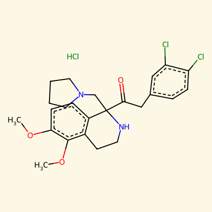 COc1ccc2c(c1OC)CCNC2(CN1CCCC1)C(=O)Cc1ccc(Cl)c(Cl)c1.Cl